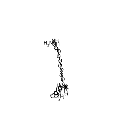 N=C(N)NCc1ccc(OCCOCCOCCOCCOCCOCCOCCC(Oc2c(I)cc(Oc3c(I)cc(CC(=O)O)cc3I)cc2I)c2c[nH]nn2)cc1